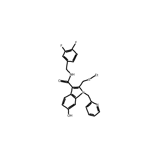 CCSCc1c(C(=O)NCc2ccc(F)c(F)c2)c2ccc(O)cc2n1Cc1ccccn1